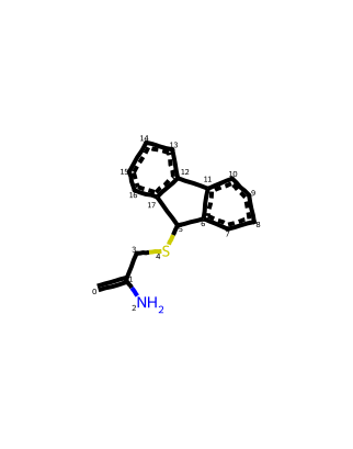 C=C(N)CSC1c2ccccc2-c2ccccc21